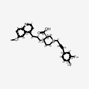 COc1ccc2nccc(CCC[C@@H]3CCN(CC#Cc4ccc(F)c(F)c4)C[C@@H]3C(=O)O)c2c1